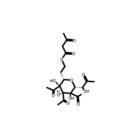 CC(=O)CC(=O)OCC[C@@H]1O[C@H](C(O)C(C)=O)[C@](O)(C(C)=O)[C@@](O)(C(C)=O)[C@]1(O)C(C)=O